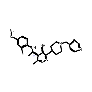 CCOc1ccc(N/C(C)=C2\C(=N)C(C3CCN(Cc4ccncc4)CC3)=NN=C2C)c(F)c1